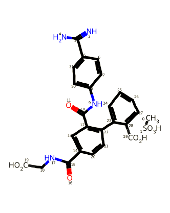 CS(=O)(=O)O.N=C(N)c1ccc(NC(=O)c2cc(C(=O)NCC(=O)O)ccc2-c2ccccc2C(=O)O)cc1